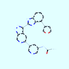 CCCCC(=O)Nc1cncc(-c2cc3c(-c4nc5c(-c6ccoc6)cccc5[nH]4)n[nH]c3cn2)c1